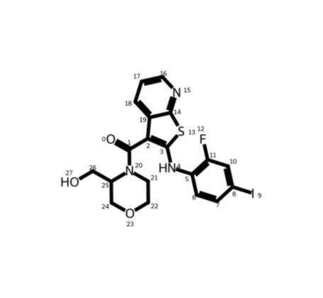 O=C(c1c(Nc2ccc(I)cc2F)sc2ncccc12)N1CCOCC1CO